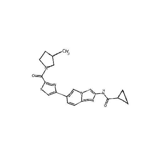 CC1CCN(C(=O)c2nc(-c3ccc4nc(NC(=O)C5CC5)cn4c3)cs2)C1